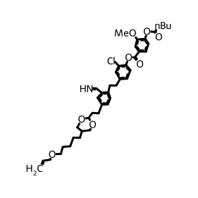 C=CCOCCCCCC1COC(CCc2ccc(CCc3ccc(OC(=O)c4ccc(OC(=O)CCCC)c(OC)c4)c(Cl)c3)c(C=N)c2)OC1